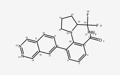 NC(=O)c1cccc(-c2ccc3cnncc3c2)c1N1CCCC1C(F)(F)F